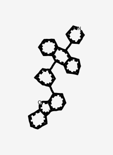 c1cc(-c2c3ccccc3c(-c3ccncc3)c3ccccc23)cc(-c2cccc3c2oc2ccccc23)c1